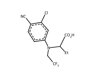 CCC(C(=O)O)N(CC(F)(F)F)c1ccc(C#N)c(Cl)c1